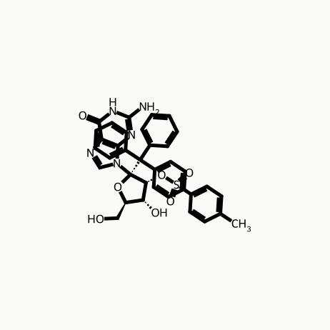 Cc1ccc(S(=O)(=O)O[C@@H]2[C@H](O)[C@@H](CO)O[C@]2(n2cnc3c(=O)[nH]c(N)nc32)C(c2ccccc2)(c2ccccc2)c2ccccc2)cc1